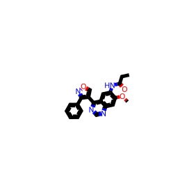 CCC(=O)Nc1cc2c(-c3conc3-c3ccccc3)ncnc2cc1OC